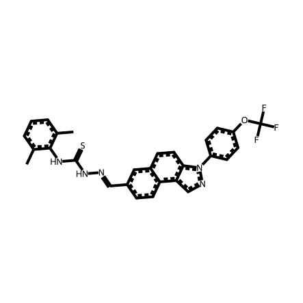 Cc1cccc(C)c1NC(=S)NN=Cc1ccc2c(ccc3c2cnn3-c2ccc(OC(F)(F)F)cc2)c1